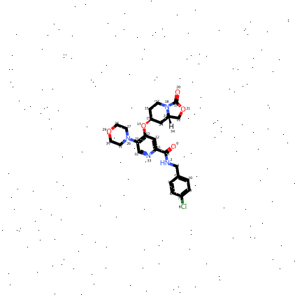 O=C(NCc1ccc(Cl)cc1)c1cc(O[C@H]2CCN3C(=O)OC[C@@H]3C2)c(N2CCOCC2)cn1